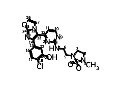 CN1CCN(CCNc2nccc(-c3c(-c4ccc(Cl)c(O)c4)nc4occn34)n2)S1(=O)=O